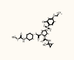 CC(C)(C)OC(=O)N[C@H]1CC[C@H](CC(=O)N2C[C@H](S(=O)(=O)c3ccc(OCC(F)(F)F)cc3Cl)C[C@H]2C(=O)NC2(C#N)CC2)CC1